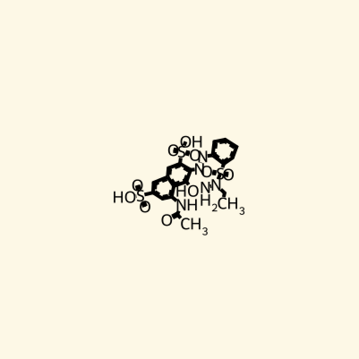 CCN(N)S(=O)(=O)c1ccccc1N=Nc1c(S(=O)(=O)O)cc2cc(S(=O)(=O)O)cc(NC(C)=O)c2c1O